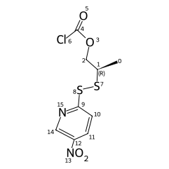 C[C@H](COC(=O)Cl)SSc1ccc([N+](=O)[O-])cn1